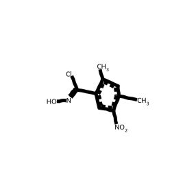 Cc1cc(C)c([N+](=O)[O-])cc1C(Cl)=NO